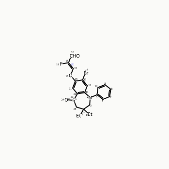 CCC1(CC)CN(c2ccccc2)c2cc(Br)c(O/C=C(\F)C=O)cc2[S+]([O-])C1